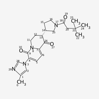 Cc1cn(-c2ccc3n(c2=O)CCC([C@@H]2CCN(C(=O)CC(C)(C)C)C2)C3=O)cn1